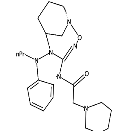 CCCN(c1ccccc1)N1C([N]C(=O)CN2CCCCC2)=NO[N@@]2CCCC1C2